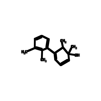 Cc1cccc(C2=CC=CC(C)(O)C2C)c1C